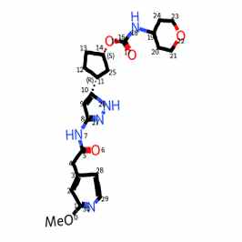 COc1cc(CC(=O)Nc2cc([C@@H]3CC[C@H](OC(=O)NC4CCOCC4)C3)[nH]n2)ccn1